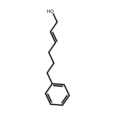 OC/C=C/CCCc1ccccc1